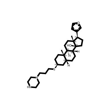 C[C@]12CC[C@H](SCCCN3CCNCC3)C[C@H]1CC[C@@H]1[C@@H]2CC[C@]2(C)[C@@H](c3ccoc3)CC[C@]12O